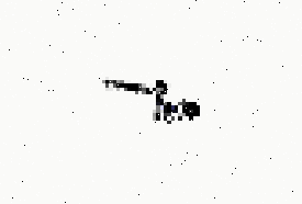 CCn1c(=O)/c(=C2\Sc3ccccc3N2C)s/c1=C\c1cccc[n+]1CCOCCOCCOC